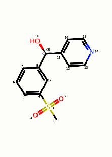 CS(=O)(=O)c1cccc([C@@H](O)c2ccncc2)c1